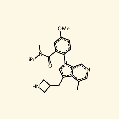 COc1ccc(-n2cc(CC3CNC3)c3c(C)cncc32)c(C(=O)N(C)C(C)C)c1